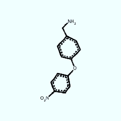 NCc1ccc(Oc2ccc([N+](=O)[O-])cc2)cc1